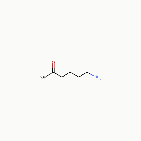 CCCCC(=O)CCCCN